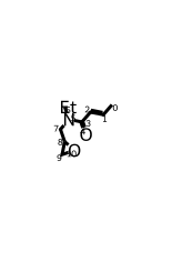 CC=CC(=O)N(CC)CC1CO1